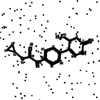 CC1CC(=O)NN=C1c1ccc(NC(=O)OC2CC2)cc1